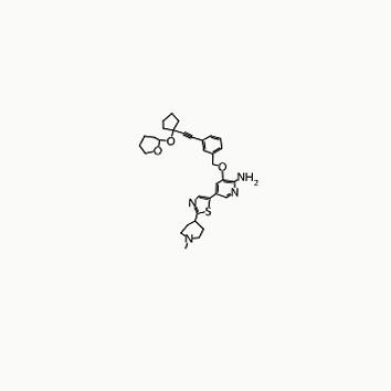 CN1CCC(c2ncc(-c3cnc(N)c(OCc4cccc(C#CC5(OC6CCCCO6)CCCC5)c4)c3)s2)CC1